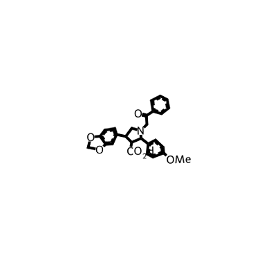 COc1ccc(C2C(C(=O)O)C(c3ccc4c(c3)OCO4)CN2CC(=O)c2ccccc2)cc1